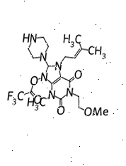 COCCn1c(=O)c2c(n(C)c1=O)N(OC(=O)C(F)(F)F)C(N1CCNCC1)N2CC=C(C)C